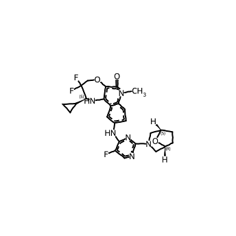 Cn1c(=O)c2c(c3cc(Nc4nc(N5C[C@H]6CC[C@@H](C5)O6)ncc4F)ccc31)N[C@@H](C1CC1)C(F)(F)CO2